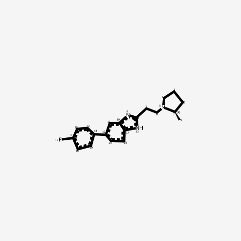 C[C@@H]1CCCN1CCc1nc2cc(-c3ccc(F)cc3)ccc2[nH]1